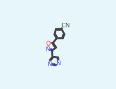 N#Cc1ccc(-c2cc(-c3cncnc3)no2)cc1